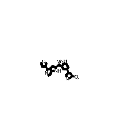 COc1cncc(-c2ccc3[nH]nc(-c4cc5c(-c6ccoc6)nccc5[nH]4)c3c2)c1